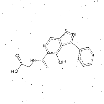 O=C(O)CNC(=O)c1ncc2snc(-c3ccccc3)c2c1O